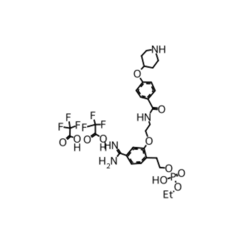 CCOP(=O)(O)OCCc1ccc(C(=N)N)cc1OCCNC(=O)c1ccc(OC2CCNCC2)cc1.O=C(O)C(F)(F)F.O=C(O)C(F)(F)F